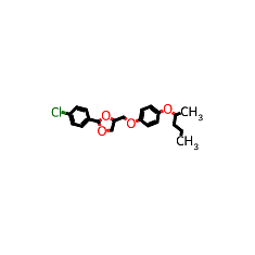 CCCC(C)Oc1ccc(OCC2COC(c3ccc(Cl)cc3)O2)cc1